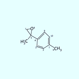 Cc1ccc(C2(C)CO2)cc1